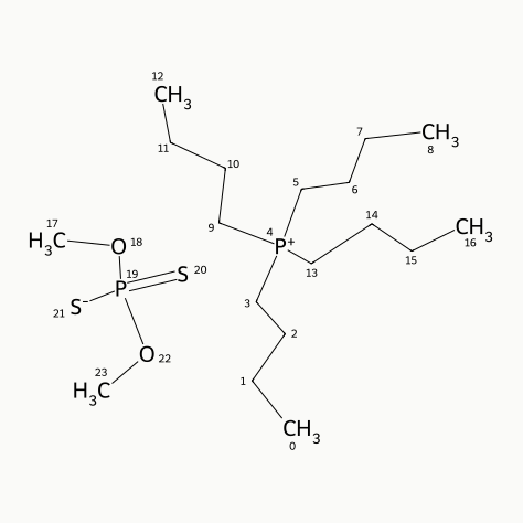 CCCC[P+](CCCC)(CCCC)CCCC.COP(=S)([S-])OC